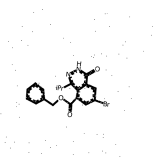 CC(C)c1n[nH]c(=O)c2cc(Br)cc(C(=O)OCc3ccccc3)c12